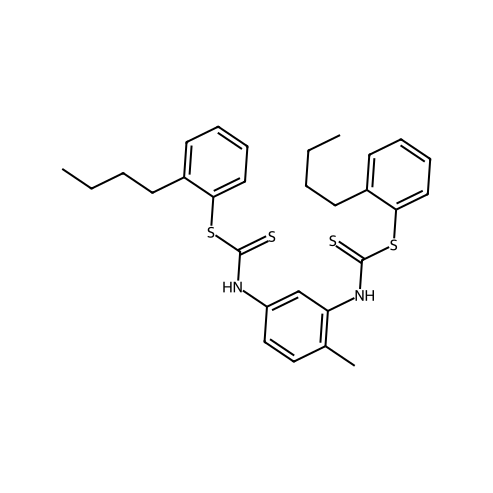 CCCCc1ccccc1SC(=S)Nc1ccc(C)c(NC(=S)Sc2ccccc2CCCC)c1